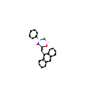 O=C1NC(=S)N(c2ccccc2F)C(=O)/C1=C/c1c2ccccc2cc2ccccc12